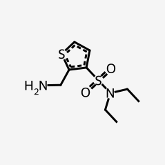 CCN(CC)S(=O)(=O)c1ccsc1CN